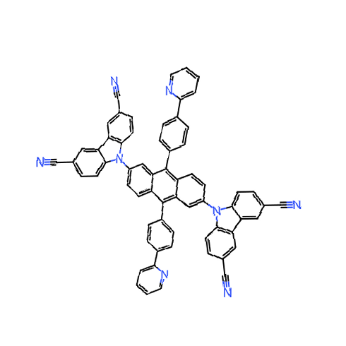 N#Cc1ccc2c(c1)c1cc(C#N)ccc1n2-c1ccc2c(-c3ccc(-c4ccccn4)cc3)c3cc(-n4c5ccc(C#N)cc5c5cc(C#N)ccc54)ccc3c(-c3ccc(-c4ccccn4)cc3)c2c1